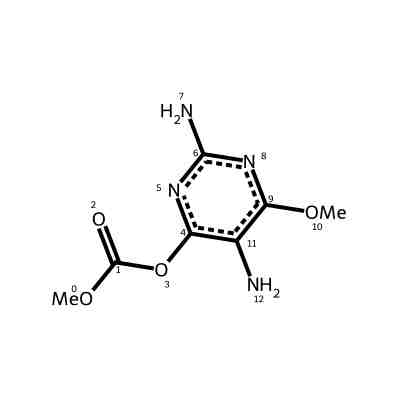 COC(=O)Oc1nc(N)nc(OC)c1N